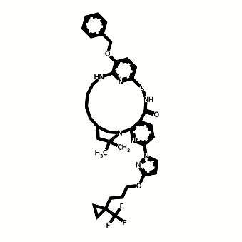 CC1(C)CC2CCCCNc3nc(ccc3OCc3ccccc3)SNC(=O)c3ccc(-n4ccc(OCCCC5(C(F)(F)F)CC5)n4)nc3N1C2